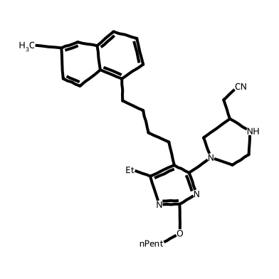 CCCCCOc1nc(CC)c(CCCCc2cccc3cc(C)ccc23)c(N2CCNC(CC#N)C2)n1